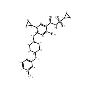 O=C(NS(=O)(=O)C1CC1)c1cc(C2CC2)c(CN2CCC(Oc3cccc(C(F)(F)F)c3)CC2)cc1F